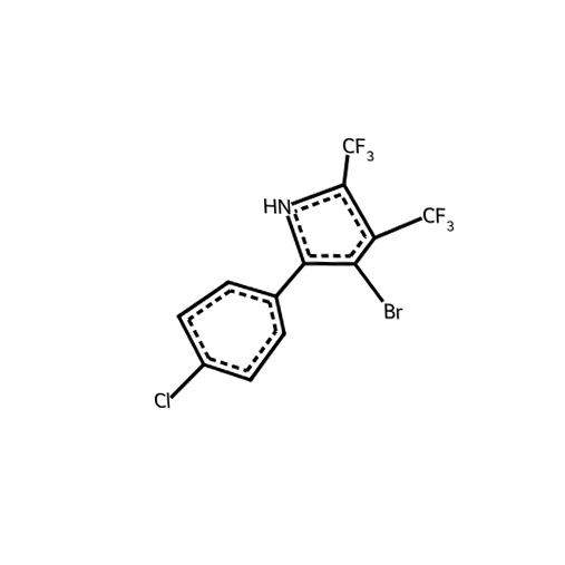 FC(F)(F)c1[nH]c(-c2ccc(Cl)cc2)c(Br)c1C(F)(F)F